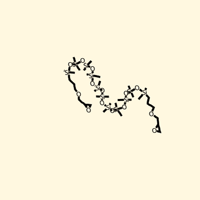 C[Si](C)(CCCOCC1CO1)O[Si](C)(C)O[Si](C)(C)O[Si](C)(C)O[Si](C)(C)O[Si](C)(C)O[Si](C)(C)O[Si](C)(C)O[Si](C)(C)O[Si](C)(C)O[Si](C)(C)CCCOCC1CO1